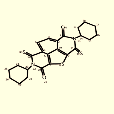 O=C1c2ccc3c4c(sc(c24)C(=S)N1C1CCCCC1)C(=O)N(C1CCCCC1)C3=S